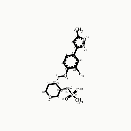 Cc1cc(-c2ccc(OC[C@H]3CCOC[C@@H]3NS(C)(=O)=O)c(F)c2)no1